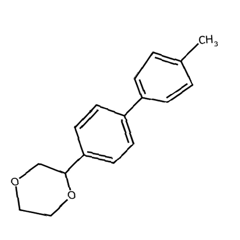 Cc1ccc(-c2ccc(C3COCCO3)cc2)cc1